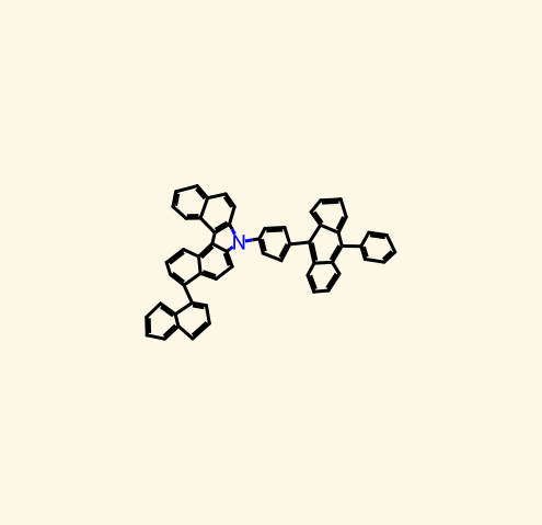 c1ccc(-c2c3ccccc3c(-c3ccc(-n4c5ccc6ccccc6c5c5c6cccc(-c7cccc8ccccc78)c6ccc54)cc3)c3ccccc23)cc1